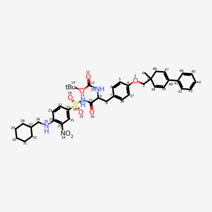 CC1(COc2ccc(CC(NC(=O)OC(C)(C)C)C(=O)NS(=O)(=O)c3ccc(NCC4CCCCC4)c([N+](=O)[O-])c3)cc2)C=CC(c2ccccc2)=CC1